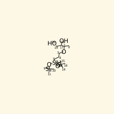 CC(OCCC[SiH](O[Si](C)(C)C)O[Si](C)(C)C)C(O)CO